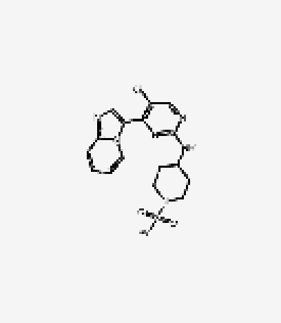 CC(C)S(=O)(=O)N1CCC(Nc2ncc(Cl)c(-c3cnc4ccccn34)n2)CC1